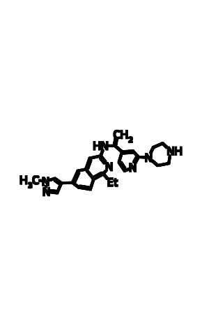 C=C(Nc1cc2cc(-c3cnn(C)c3)ccc2c(CC)n1)c1ccnc(N2CCNCC2)c1